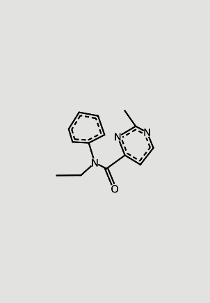 CCN(C(=O)c1ccnc(C)n1)c1ccccc1